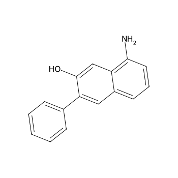 Nc1cccc2cc(-c3ccccc3)c(O)cc12